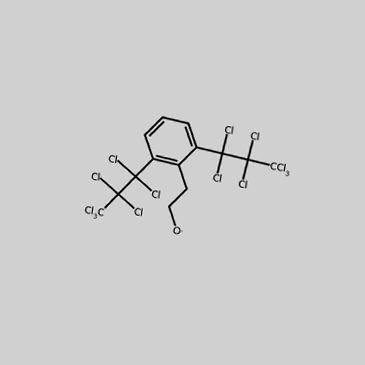 [O]CCc1c(C(Cl)(Cl)C(Cl)(Cl)C(Cl)(Cl)Cl)cccc1C(Cl)(Cl)C(Cl)(Cl)C(Cl)(Cl)Cl